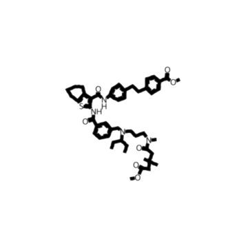 CCC(CC)N(CCCN(C)C(=O)CC(C)(C)CC(=O)OC)Cc1cccc(C(=O)Nc2sc3c(c2C(=O)Nc2ccc(CCc4ccc(C(=O)OC)cc4)cc2)CCCC3)c1